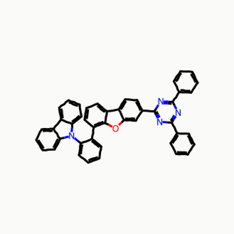 c1ccc(-c2nc(-c3ccccc3)nc(-c3ccc4c(c3)oc3c(-c5ccccc5-n5c6ccccc6c6ccccc65)cccc34)n2)cc1